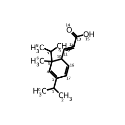 CC(C)C1=CC(C)(C(C)C)C(/C=C/C(=O)O)C=C1